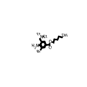 CCN(CC)Cc1cc(C(=O)OCCCCCO)cc(Br)c1N